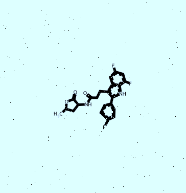 CC1CC(NC(=O)CCc2c(-c3ccc(F)cc3)[nH]c3c(F)cc(F)cc23)C(=O)O1